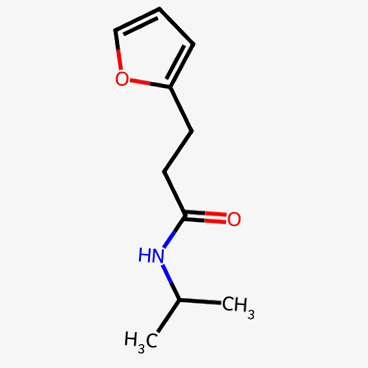 CC(C)NC(=O)CCc1ccco1